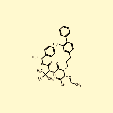 CCO[C@H](C(=O)O)[C@@H](CCCc1ccc(-c2ccccc2)c(C)c1)C(=O)N[C@H](C(=O)N[C@H](C)c1ccccc1)C(C)(C)C